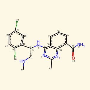 CNC[C@@H](Nc1nc(C)nc2c(C(N)=O)cccc12)c1cc(F)ccc1F